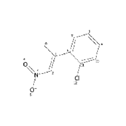 CC(=C[N+](=O)[O-])c1ccccc1Cl